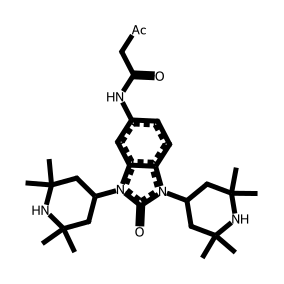 CC(=O)CC(=O)Nc1ccc2c(c1)n(C1CC(C)(C)NC(C)(C)C1)c(=O)n2C1CC(C)(C)NC(C)(C)C1